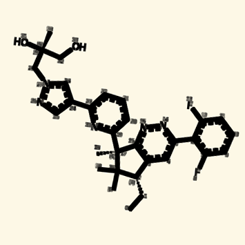 CC[C@H]1c2cc(-c3c(F)cccc3F)nnc2[C@](C)(c2cccc(-c3cnn(C[C@](C)(O)CO)c3)n2)C1(C)C